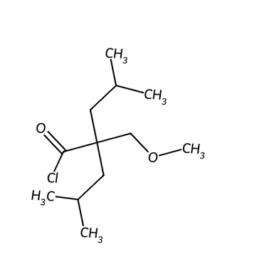 COCC(CC(C)C)(CC(C)C)C(=O)Cl